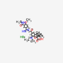 Br.CCOc1cc2c(cc1C(=O)NC)C(=N)N(CC(=O)c1cc(N(CC)CC)c(OC(CC)C(=O)O)c(C(C)(C)C)c1)C2